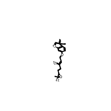 CC/C(=C\COc1ccc2c(c1)OCC2(C)C)CCC1OC1(C)CC